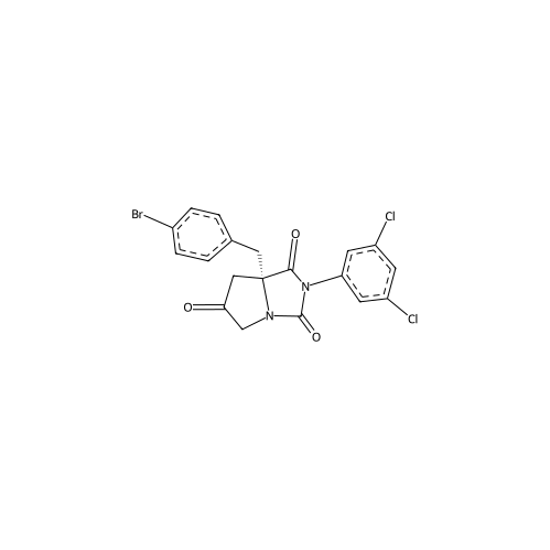 O=C1CN2C(=O)N(c3cc(Cl)cc(Cl)c3)C(=O)[C@]2(Cc2ccc(Br)cc2)C1